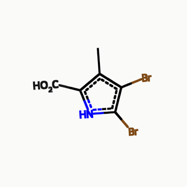 Cc1c(C(=O)O)[nH]c(Br)c1Br